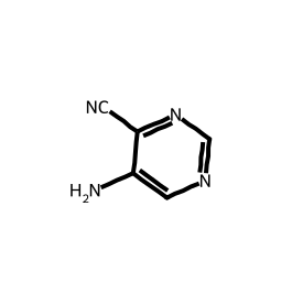 N#Cc1ncncc1N